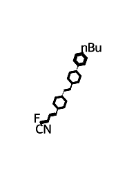 CCCCc1ccc([C@H]2CC[C@H](CC[C@H]3CC[C@H](C=CC=C(F)C#N)CC3)CC2)cc1